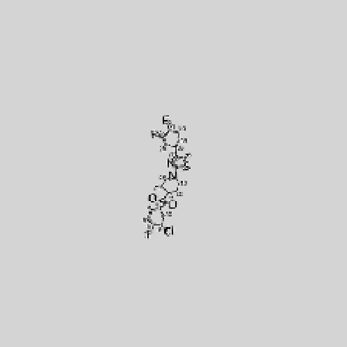 O=S(=O)(c1ccc(F)c(Cl)c1)C1CCN(c2nc(-c3ccc(F)c(F)c3)cs2)CC1